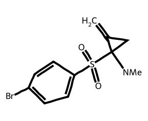 C=C1CC1(NC)S(=O)(=O)c1ccc(Br)cc1